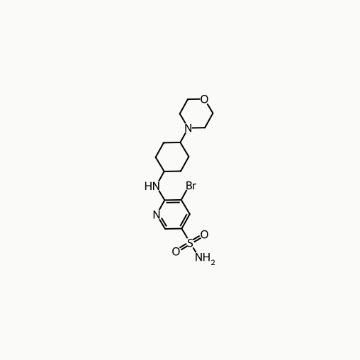 NS(=O)(=O)c1cnc(NC2CCC(N3CCOCC3)CC2)c(Br)c1